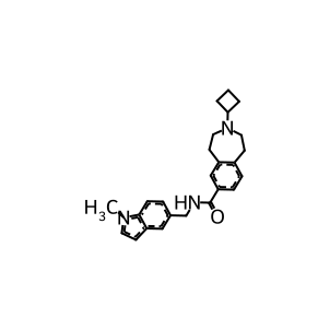 Cn1ccc2cc(CNC(=O)c3ccc4c(c3)CCN(C3CCC3)CC4)ccc21